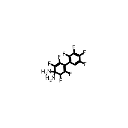 NC1(N)C(F)=C(F)C(c2cc(F)c(F)c(F)c2F)=C(F)C1F